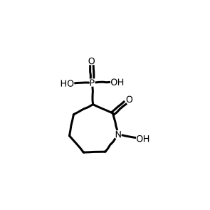 O=C1C(P(=O)(O)O)CCCCN1O